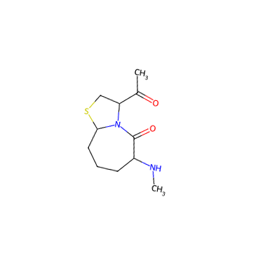 CNC1CCCC2SCC(C(C)=O)N2C1=O